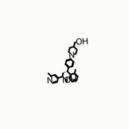 Cc1cc(/C(C[C@H](c2ccc(N3CCC(CO)CC3)cc2)c2ccccc2C)=N/O)ccn1